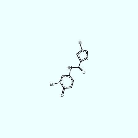 CCn1cc(NC(=O)c2cc(Br)cs2)ccc1=O